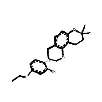 CCOc1ccc([C@H]2COc3c(ccc4c3CCC(C)(C)O4)C2)c(O)c1